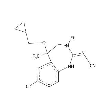 CCN1C[C@@](OCC2CC2)(C(F)(F)F)c2cc(Cl)ccc2N/C1=N\C#N